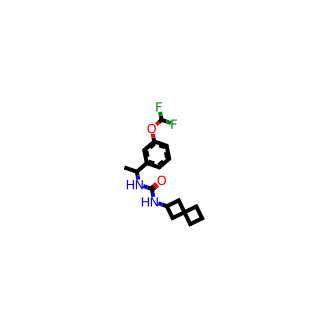 CC(NC(=O)NC1CC2(CCC2)C1)c1cccc(OC(F)F)c1